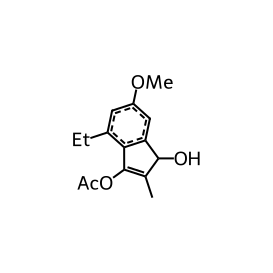 CCc1cc(OC)cc2c1C(OC(C)=O)=C(C)C2O